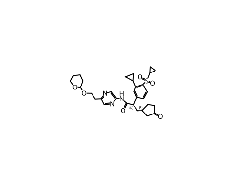 O=C1CC[C@H](C[C@@H](C(=O)Nc2cnc(CCOC3CCCCO3)cn2)c2ccc(S(=O)(=O)C3CC3)c(C3CC3)c2)C1